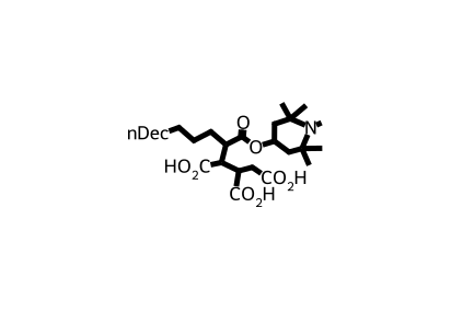 CCCCCCCCCCCCCC(C(=O)OC1CC(C)(C)N(C)C(C)(C)C1)C(C(=O)O)C(CC(=O)O)C(=O)O